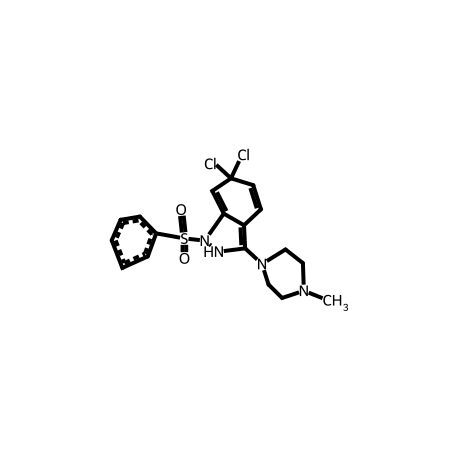 CN1CCN(C2=C3C=CC(Cl)(Cl)C=C3N(S(=O)(=O)c3ccccc3)N2)CC1